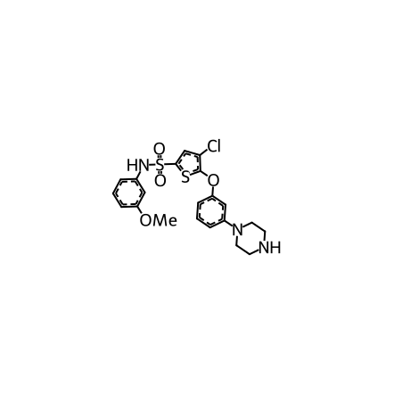 COc1cccc(NS(=O)(=O)c2cc(Cl)c(Oc3cccc(N4CCNCC4)c3)s2)c1